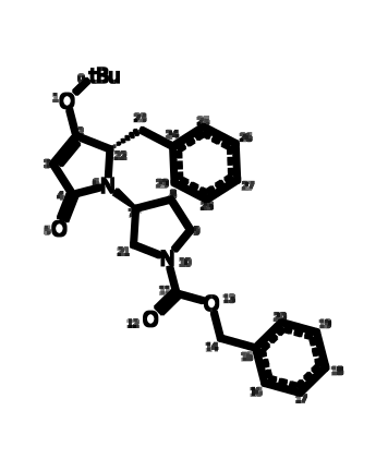 CC(C)(C)OC1=CC(=O)N([C@H]2CCN(C(=O)OCc3ccccc3)C2)[C@H]1Cc1ccccc1